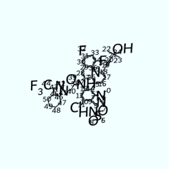 Cn1nc(NS(C)(=O)=O)c2c(Cl)ccc(-c3ccc(C#CC(C)(C)O)nc3C(Cc3cc(F)cc(F)c3)NC(=O)Cn3nc(C(F)(F)F)c4c3CCCC4)c21